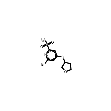 CS(=O)(=O)c1cc(OC2CCOC2)cc(Br)n1